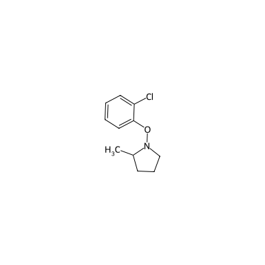 CC1CCCN1Oc1ccccc1Cl